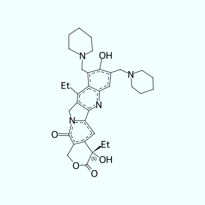 CCc1c2c(nc3cc(CN4CCCCC4)c(O)c(CN4CCCCC4)c13)-c1cc3c(c(=O)n1C2)COC(=O)[C@]3(O)CC